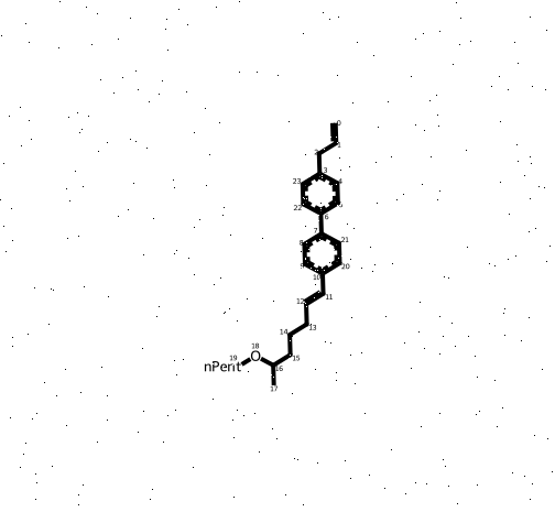 C=CCc1ccc(-c2ccc(C=CCCCC(C)OCCCCC)cc2)cc1